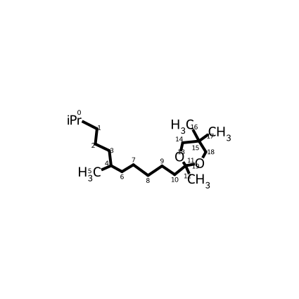 CC(C)CCCC(C)CCCCCC1(C)OCC(C)(C)CO1